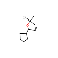 [CH]=CC(O[Si](C)(C)C(C)(C)C)C1CCCC1